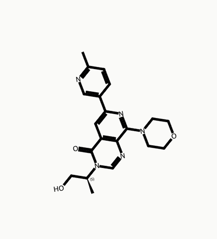 Cc1ccc(-c2cc3c(=O)n([C@@H](C)CO)cnc3c(N3CCOCC3)n2)cn1